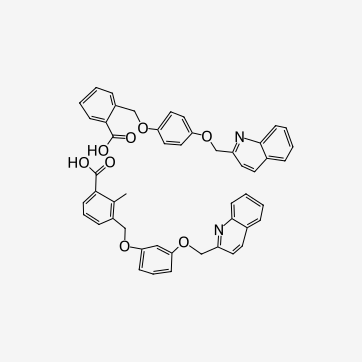 Cc1c(COc2cccc(OCc3ccc4ccccc4n3)c2)cccc1C(=O)O.O=C(O)c1ccccc1COc1ccc(OCc2ccc3ccccc3n2)cc1